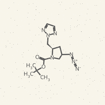 CC(C)(C)OC(=O)N1CC(N=[N+]=[N-])C[C@@H]1Cn1nccn1